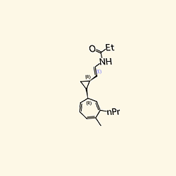 CCCC1=C[C@H](C2C[C@H]2/C=C/NC(=O)CC)C=CC=C1C